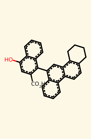 O=C(O)c1cc(O)c2ccccc2c1-c1cc2c3c(ccc2c2ccccc12)CCCC3